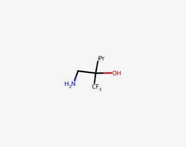 CC(C)C(O)(CN)C(F)(F)F